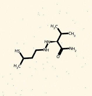 CC(S)CCNN[C@H](C(N)=O)C(C)C